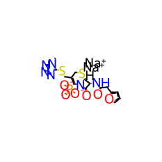 Cn1nnnc1SCC1=C(P(=O)([O-])[O-])N2C(=O)[C@@H](NC(=O)Cc3ccco3)[C@@H]2SC1.[Na+].[Na+]